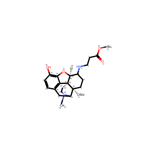 CO[C@@]12CCC(NCCC(=O)OC(C)(C)C)[C@@H]3Oc4c(O)ccc5c4[C@@]31CCN(C)C2C5